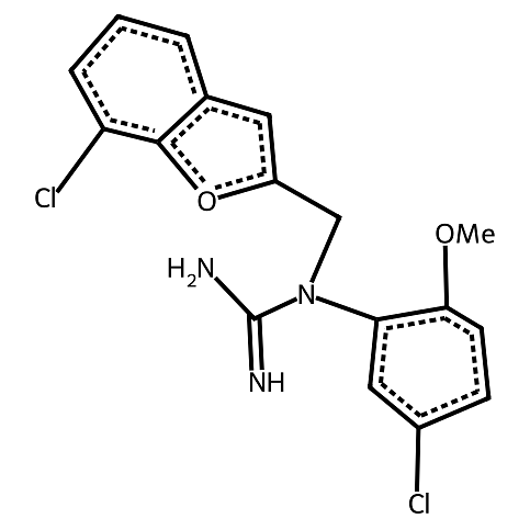 COc1ccc(Cl)cc1N(Cc1cc2cccc(Cl)c2o1)C(=N)N